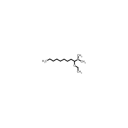 CCCCCCCCC(OCC)N(C)C